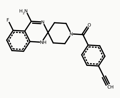 C#Cc1ccc(C(=O)N2CCC3(CC2)N=C(N)c2c(F)cccc2N3)cc1